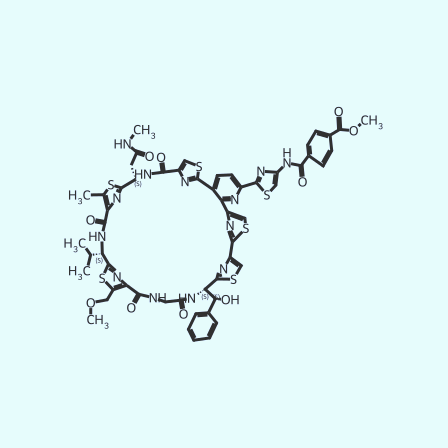 CNC(=O)C[C@@H]1NC(=O)c2csc(n2)-c2ccc(-c3nc(NC(=O)c4ccc(C(=O)OC)cc4)cs3)nc2-c2csc(n2)-c2csc(n2)[C@H]([C@@H](O)c2ccccc2)NC(=O)CNC(=O)c2nc(sc2COC)[C@H](C(C)C)NC(=O)c2nc1sc2C